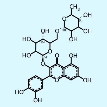 CC1O[C@@H](OCC2O[C@@H](Oc3c(-c4ccc(O)c(O)c4)oc4cc(O)cc(O)c4c3=O)C(O)C(O)[C@@H]2O)C(O)C(O)[C@H]1O